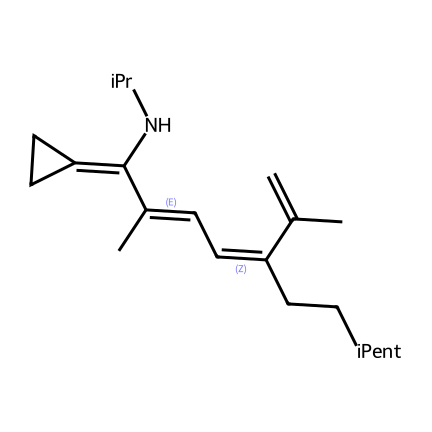 C=C(C)/C(=C\C=C(/C)C(NC(C)C)=C1CC1)CCC(C)CCC